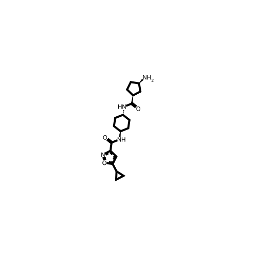 N[C@@H]1CC[C@H](C(=O)N[C@H]2CC[C@H](NC(=O)c3cc(C4CC4)on3)CC2)C1